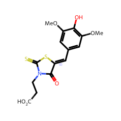 COc1cc(/C=C2\SC(=S)N(CCC(=O)O)C2=O)cc(OC)c1O